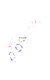 Cc1ccc(N(C(N)=O)c2cncc(-c3ccc(OCC4CCN(C(=O)OC(C)(C)C)C4)c(C)c3)n2)cn1